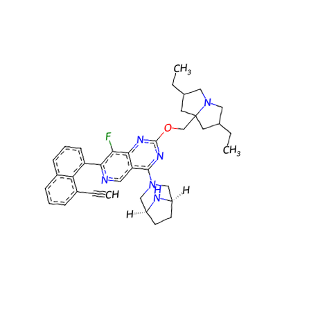 C#Cc1cccc2cccc(-c3ncc4c(N5C[C@H]6CC[C@@H](C5)N6)nc(OCC56CC(CC)CN5CC(CC)C6)nc4c3F)c12